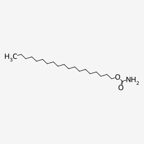 CCCCCCCCCCCCCCCCCCCOC(N)=O